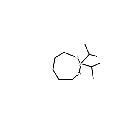 CC(C)[Si]1(C(C)C)OCCCCCO1